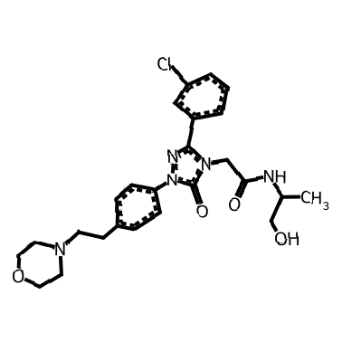 CC(CO)NC(=O)Cn1c(-c2cccc(Cl)c2)nn(-c2ccc(CCN3CCOCC3)cc2)c1=O